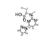 CCC(C(=O)O)N(C)c1nccc(-n2cccn2)n1